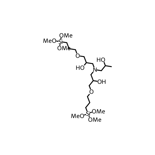 CO[Si](CCCOCC(O)CN(CC(C)O)CC(O)COCCC[Si](OC)(OC)OC)(OC)OC